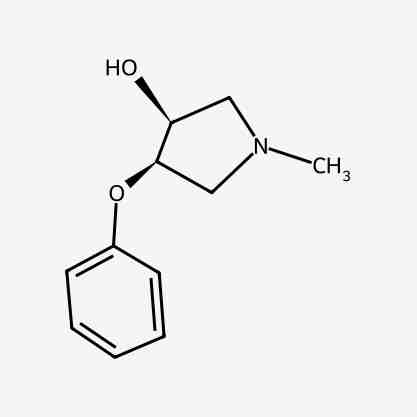 CN1C[C@H](O)[C@H](Oc2ccccc2)C1